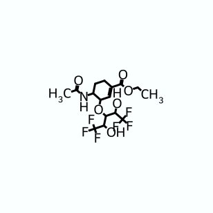 CCOC(=O)C1=CC(OC(C(O)C(F)(F)F)C(O)C(F)(F)F)C(NC(C)=O)CC1